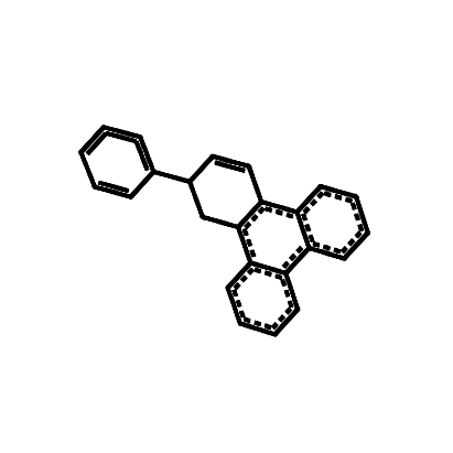 C1=C=C(C2C=Cc3c(c4ccccc4c4ccccc34)C2)C=CC=1